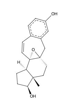 C[C@]12CC[C@]34Cc5cc(O)ccc5C=C[C@]3(O4)[C@@H]1CC[C@@H]2O